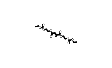 CCOC(=O)OCCOC(=O)/C=C(\C)C(=O)OCCOC(=O)OCC